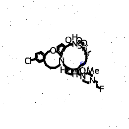 CO[C@]1(CN2CCN(CCF)CC2)/C=C/C[C@H](C)[C@@H](C)S(=O)(=O)NC(=O)c2ccc3c(c2)N(CCCCc2cc(Cl)ccc2CO3)C[C@@H]2CC[C@H]21